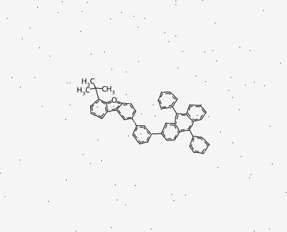 CC(C)(C)c1cccc2c1oc1ccc(-c3cccc(-c4ccc5c(-c6ccccc6)c6ccccc6c(-c6ccccc6)c5c4)c3)cc12